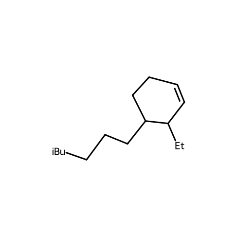 CCC(C)CCCC1CCC=CC1CC